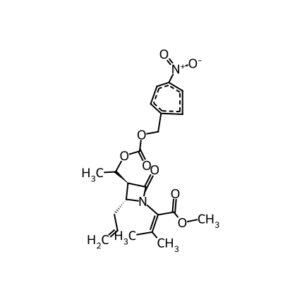 C=CC[C@@H]1[C@@H](C(C)OC(=O)OCc2ccc([N+](=O)[O-])cc2)C(=O)N1C(C(=O)OC)=C(C)C